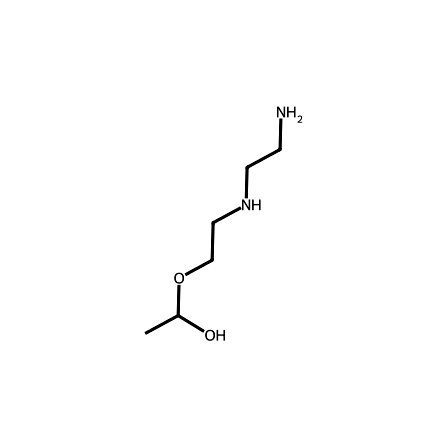 CC(O)OCCNCCN